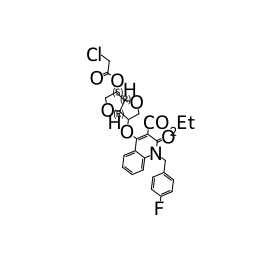 CCOC(=O)c1c(OC2CO[C@@H]3[C@@H](OC(=O)CCl)CO[C@H]23)c2ccccc2n(Cc2ccc(F)cc2)c1=O